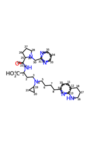 O=C(O)C(CCN(CCCCc1ccc2c(n1)NCCC2)C1CC1)NC(=O)C1CCCN1Cc1ncccn1